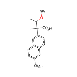 CCCOC(C)C(C)(C(=O)O)c1ccc2cc(OC)ccc2c1